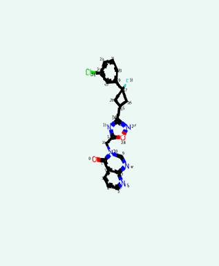 O=c1c2cccnc2ncn1Cc1nc(C2CC(F)(c3cccc(Cl)c3)C2)no1